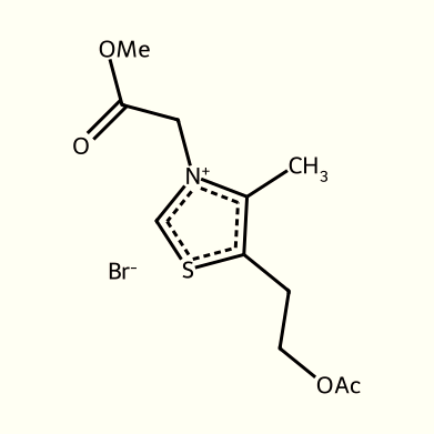 COC(=O)C[n+]1csc(CCOC(C)=O)c1C.[Br-]